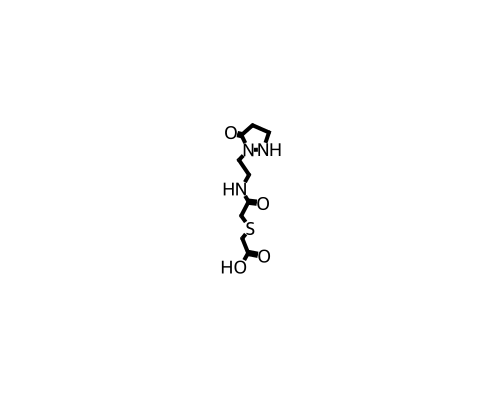 O=C(O)CSCC(=O)NCCN1NCCC1=O